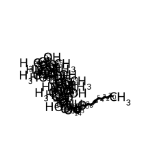 CCCCCCC#CCCCOc1cccc(C(=O)N[C@@H]2C(O[C@H]3C(O)C(NC(C)=O)C(OC4C(CO)O[C@@H](O[C@H]5C(O)C(NC(C)=O)C(OC6C(CO)OC(C)[C@@H](NC(C)=O)[C@H]6O)O[C@H]5CO)[C@@H](NC(C)=O)[C@H]4O)O[C@H]3CO)OC(CO)[C@@H](O)[C@@H]2O)c1